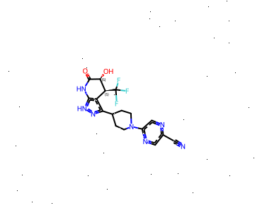 N#Cc1cnc(N2CCC(c3n[nH]c4c3[C@H](C(F)(F)F)[C@H](O)C(=O)N4)CC2)cn1